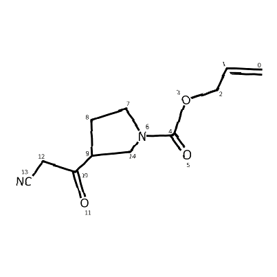 C=CCOC(=O)N1CCC(C(=O)CC#N)C1